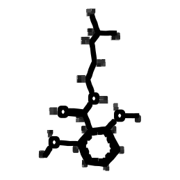 COc1cccc(OC)c1C(=O)OCCCC(C)C